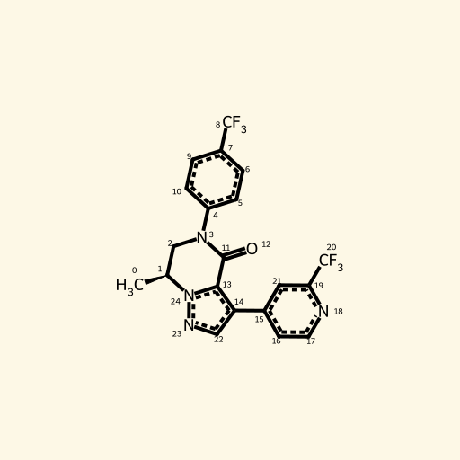 C[C@H]1CN(c2ccc(C(F)(F)F)cc2)C(=O)c2c(-c3ccnc(C(F)(F)F)c3)cnn21